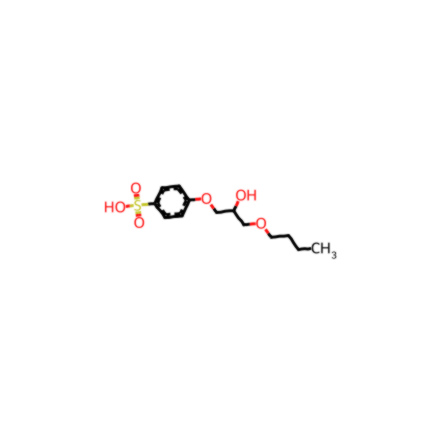 CCCCOCC(O)COc1ccc(S(=O)(=O)O)cc1